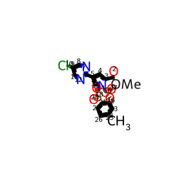 COC(=O)c1cc(-c2ncc(Cl)cn2)cn1S(=O)(=O)S(=O)(=O)c1ccc(C)cc1